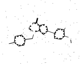 CCCCOc1ccc(-c2cc3c(s2)c(=O)ncn3Cc2ccc(Cl)cc2)cc1Cl